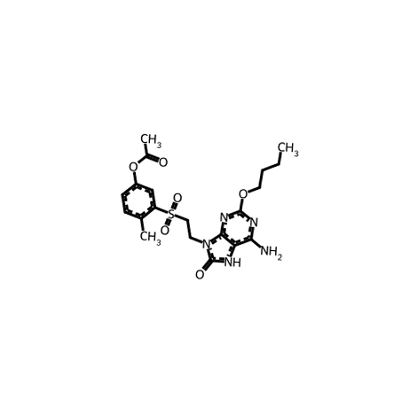 CCCCOc1nc(N)c2[nH]c(=O)n(CCS(=O)(=O)c3cc(OC(C)=O)ccc3C)c2n1